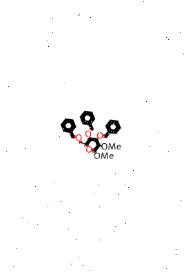 CO[C@H]1O[C@H](COCc2ccccc2)[C@@H](OCc2ccccc2)[C@H](OCc2ccccc2)[C@@H]1OC